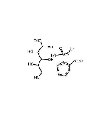 CC(=O)Nc1ccccc1[As](=O)(O)OO.O=CC(O)C(O)C(O)C(O)CO